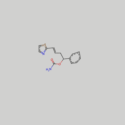 NC(=O)OC(CC=Cc1nccs1)c1ccccc1